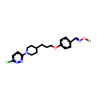 CCON=Cc1ccc(OCCCC2CCN(c3ccc(Cl)nn3)CC2)cc1